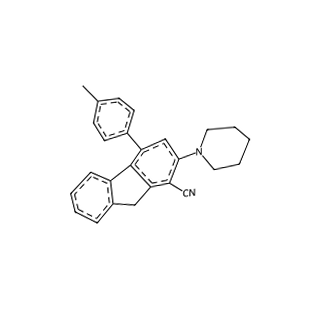 Cc1ccc(-c2cc(N3CCCCC3)c(C#N)c3c2-c2ccccc2C3)cc1